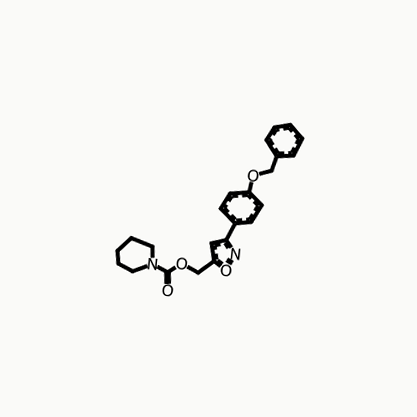 O=C(OCc1cc(-c2ccc(OCc3ccccc3)cc2)no1)N1CCCCC1